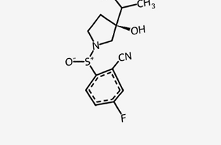 CC(O)[C@@]1(O)CCN([S+]([O-])c2ccc(F)cc2C#N)C1